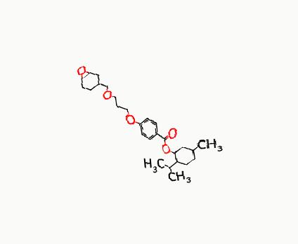 CC1CCC(C(C)C)C(OC(=O)c2ccc(OCCCOCC3CCC4OC4C3)cc2)C1